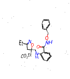 CCOC(=O)C1(CNc2ccccc2C(=O)NOCc2ccccc2)CC(CC)=NO1